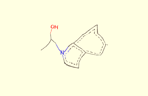 CC(O)n1ccc2c[c]ccc21